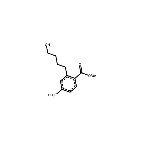 COC(=O)c1ccc(C(=O)O)cc1CCCCO